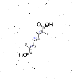 C\C(=C/C=C/C=C(\C)C(=O)O)CO